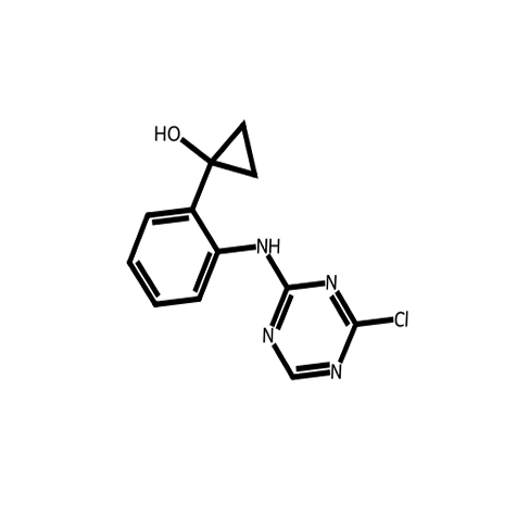 OC1(c2ccccc2Nc2ncnc(Cl)n2)CC1